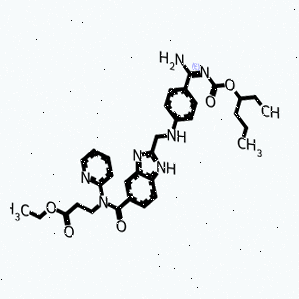 CCCC(CC)OC(=O)/N=C(/N)c1ccc(NCc2nc3cc(C(=O)N(CCC(=O)OCC)c4ccccn4)ccc3[nH]2)cc1